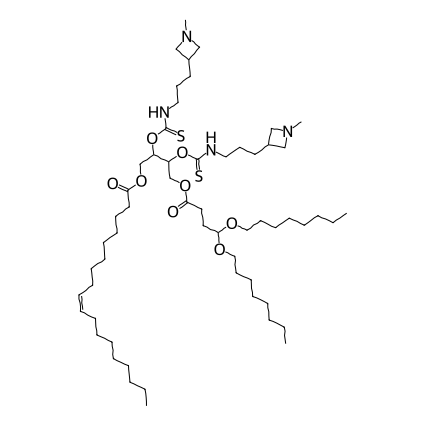 CCCCCCCC/C=C\CCCCCCCC(=O)OCC(OC(=S)NCCCC1CN(C)C1)C(COC(=O)CCC(OCCCCCCCC)OCCCCCCCC)OC(=S)NCCCC1CN(C)C1